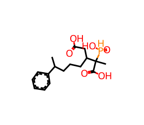 CC(CCCC(CC(=O)O)C(C)(C(=O)O)[PH](=O)O)c1ccccc1